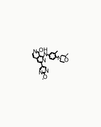 COc1ncc(-c2cc3c(c(Nc4ccc(N5CCO[C@H](C)C5)c(C)c4)n2)C(=O)[N]C=C3)cn1